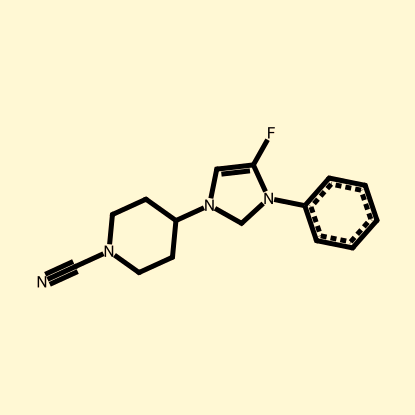 N#CN1CCC(N2C=C(F)N(c3ccccc3)C2)CC1